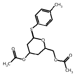 CC(=O)OCC1CC(OC(C)=O)CC(Sc2ccc(C)cc2)O1